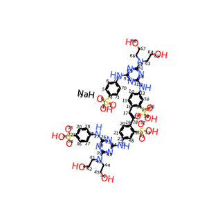 O=S(=O)(O)c1ccc(Nc2nc(Nc3ccc(C=Cc4ccc(Nc5nc(Nc6ccc(S(=O)(=O)O)cc6)nc(N(CCO)CCO)n5)cc4S(=O)(=O)O)c(S(=O)(=O)O)c3)nc(N(CCO)CCO)n2)cc1.[NaH]